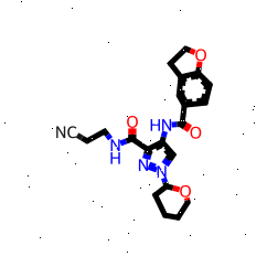 N#CCCNC(=O)c1nn(C2CCCCO2)cc1NC(=O)c1ccc2c(c1)CCO2